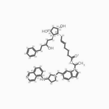 CC(OC(=O)CCCC=CC[C@@H]1[C@@H](CCC(O)CCc2ccccc2)[C@H](O)C[C@@H]1O)n1ccc2ccc(CN3CCC(Nc4cccc5cnccc45)C3)cc21